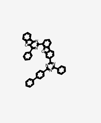 c1ccc(-c2ccc(-c3nc(-c4ccccc4)nc(-c4ccc5c(c4)oc4c(-c6nc(-c7ccccc7)c7oc8ccccc8c7n6)cccc45)n3)cc2)cc1